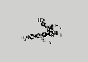 CCc1nc2c(N)ncc(-c3ccc(N4CCC(N5CCN(C)CC5)CC4)c(OC)c3)c2nc1NCC1CCC(O)C1